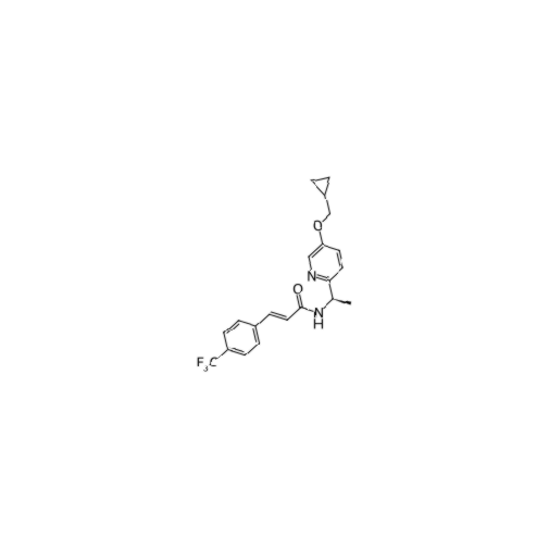 C[C@@H](NC(=O)/C=C/c1ccc(C(F)(F)F)cc1)c1ccc(OCC2CC2)cn1